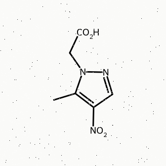 Cc1c([N+](=O)[O-])cnn1CC(=O)O